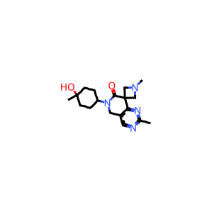 Cc1ncc2c(n1)C1(CN(C)C1)C(=O)N(C1CCC(C)(O)CC1)C2